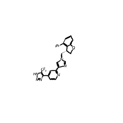 CC(C)c1cccc2c1[C@@H](Cn1cnc(-c3cc(-c4nn[nH]c4C(F)(F)F)ccn3)c1)CO2